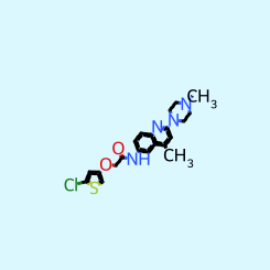 Cc1cc(N2CCN(C)CC2)nc2ccc(NC(=O)COc3csc(Cl)c3)cc12